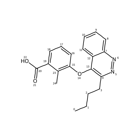 CCCCc1nnc2ccccc2c1Oc1cccc(C(=O)O)c1C